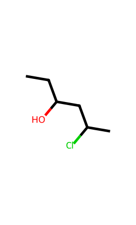 CCC(O)CC(C)Cl